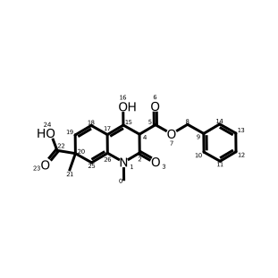 CN1C(=O)C(C(=O)OCc2ccccc2)C(O)=C2C=CC(C)(C(=O)O)C=C21